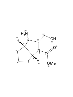 COC(=O)N1[C@@H]2CCC[C@@H]2[C@H](N)[C@@H]1CO